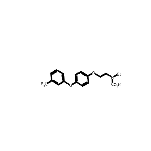 CCN(CCOc1ccc(Oc2cccc(C(F)(F)F)c2)cc1)C(=O)O